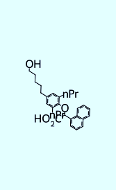 CCCc1cc(CCCCCO)cc(CCC)c1OC(C(=O)O)c1cccc2ccccc12